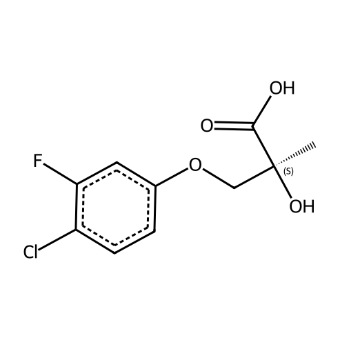 C[C@](O)(COc1ccc(Cl)c(F)c1)C(=O)O